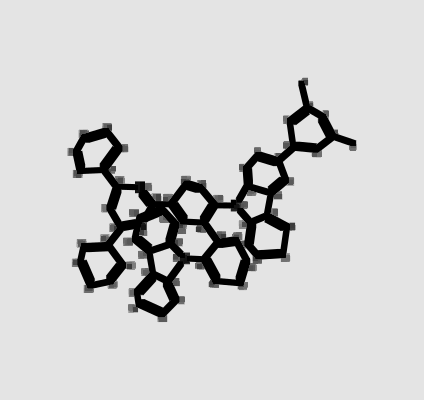 Cc1cc(C)cc(-c2ccc3c(c2)c2ccccc2n3-c2ccc(-c3nc(-c4ccccc4)cc(-c4ccccc4)n3)cc2-c2ccccc2-n2c3ccccc3c3ccccc32)c1